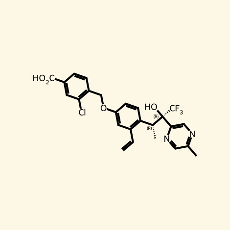 C=Cc1cc(OCc2ccc(C(=O)O)cc2Cl)ccc1[C@@H](C)[C@@](O)(c1cnc(C)cn1)C(F)(F)F